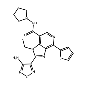 CCn1c(-c2nonc2N)nc2c(-c3cccs3)ncc(C(=O)NN3CCCC3)c21